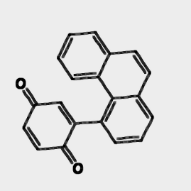 O=C1C=CC(=O)C(c2cccc3ccc4ccccc4c23)=C1